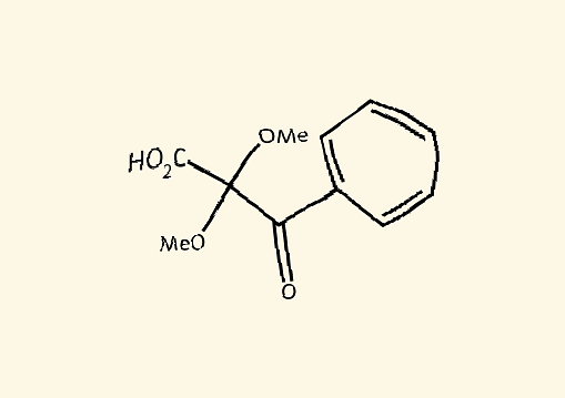 COC(OC)(C(=O)O)C(=O)c1ccccc1